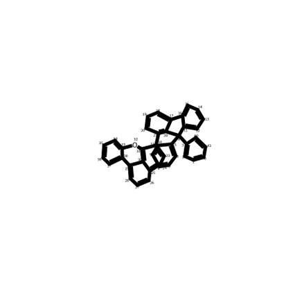 c1ccc(C2(c3ccccc3)c3ccccc3-c3cccc(-c4ccc5cccc6c5c4Oc4ccccc4-6)c32)cc1